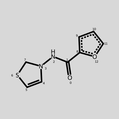 O=C(NN1C=CSC1)c1ccco1